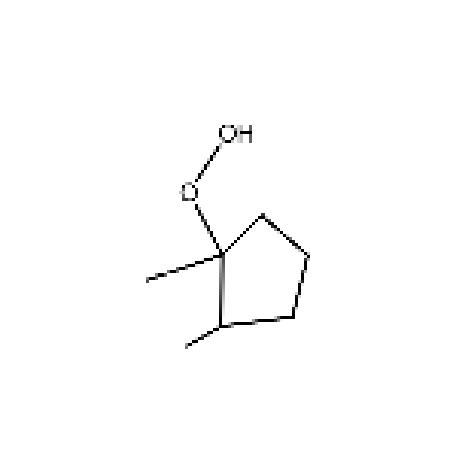 CC1CCCC1(C)OO